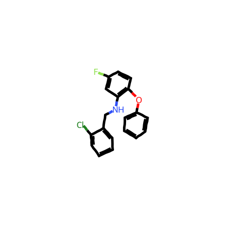 Fc1ccc(Oc2ccccc2)c(NCc2ccccc2Cl)c1